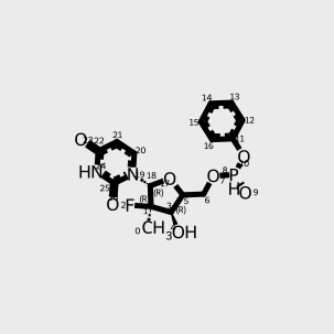 C[C@@]1(F)[C@H](O)C(CO[PH](=O)Oc2ccccc2)O[C@H]1n1ccc(=O)[nH]c1=O